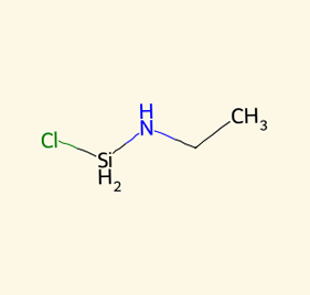 CCN[SiH2]Cl